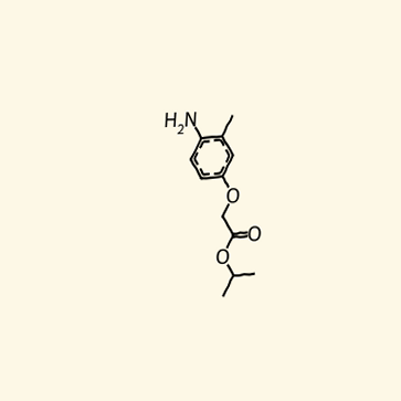 Cc1cc(OCC(=O)OC(C)C)ccc1N